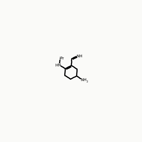 CC(C)NC1=C(C=N)CC(N)CC1